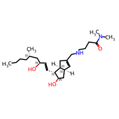 CCCC[C@H](C)C[C@H](O)C=C[C@@H]1[C@H]2CC(CNCCCC(=O)N(C)C)=C[C@H]2C[C@H]1O